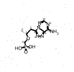 C[C@H](Cc1nnc2c(N)ncnn12)OCP(=O)(O)O